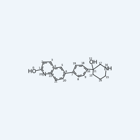 Oc1ccc2cc(-c3ccc(C4(O)CCCNC4)cc3)ccc2n1